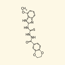 COc1cccc2nc(NC(=S)NNC(=O)c3ccc4c(c3)OCCO4)[nH]c12